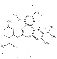 COc1cc(C)cc2c1op(OC1CC(C)CCC1C(C)C)oc1cc(C)c(C(C)C)cc12